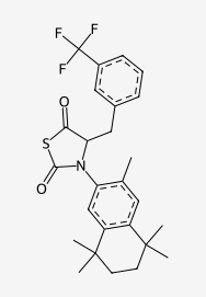 Cc1cc2c(cc1N1C(=O)SC(=O)C1Cc1cccc(C(F)(F)F)c1)C(C)(C)CCC2(C)C